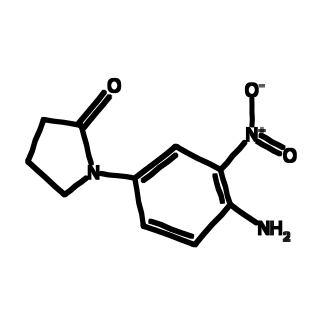 Nc1ccc(N2CCCC2=O)cc1[N+](=O)[O-]